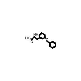 N[C@@H](Cc1cccc(OCc2ccccc2)c1)C(=O)O